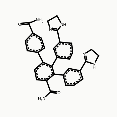 NC(=O)c1ccc(-c2ccc(C(N)=O)c(-c3cccc(C4=NCCN4)c3)c2-c2cccc(C3=NCCN3)c2)cc1